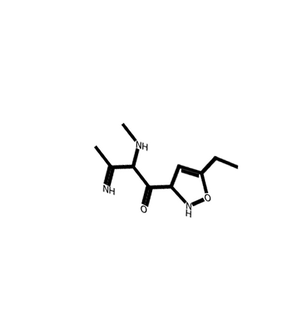 CCC1=CC(C(=O)C(NC)C(C)=N)NO1